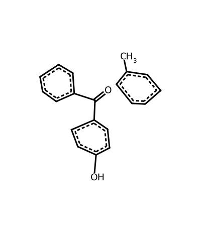 Cc1ccccc1.O=C(c1ccccc1)c1ccc(O)cc1